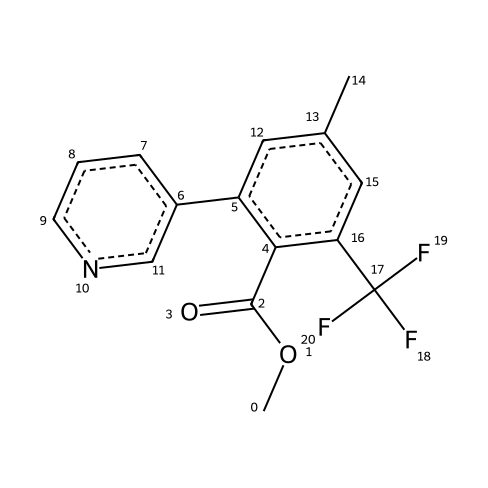 COC(=O)c1c(-c2cccnc2)cc(C)cc1C(F)(F)F